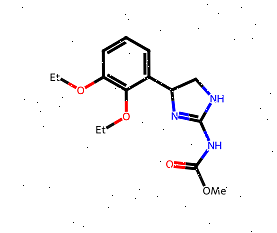 CCOc1cccc(C2CNC(NC(=O)OC)=N2)c1OCC